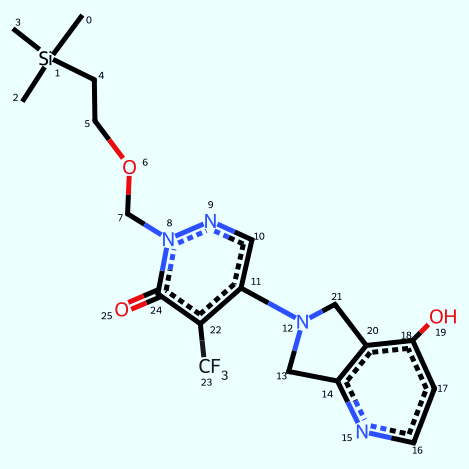 C[Si](C)(C)CCOCn1ncc(N2Cc3nccc(O)c3C2)c(C(F)(F)F)c1=O